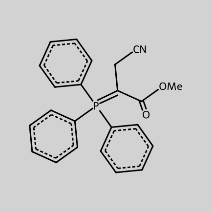 COC(=O)C(CC#N)=P(c1ccccc1)(c1ccccc1)c1ccccc1